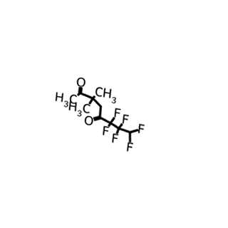 CC(=O)C(C)(C)CC(=O)C(F)(F)C(F)(F)C(F)F